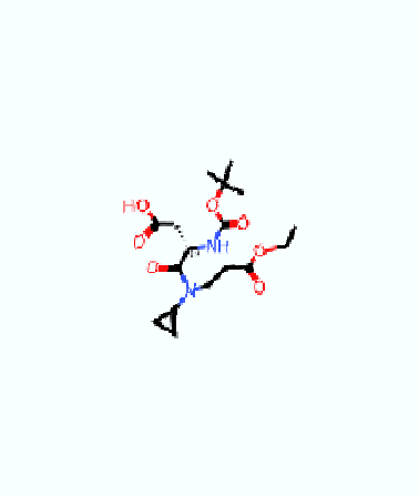 CCOC(=O)CCN(C(=O)[C@H](CC(=O)O)NC(=O)OC(C)(C)C)C1CC1